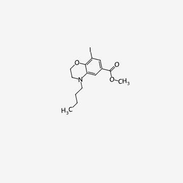 CCCCN1CCOc2c(I)cc(C(=O)OC)cc21